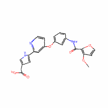 COc1ccoc1C(=O)Nc1cccc(Oc2ccnc(-c3cc(C(=O)O)c[nH]3)c2)c1